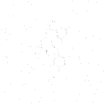 COc1cccc(OC)c1C1CCC(C)(C)C(=O)N1Cc1ccc(OC(F)(F)F)cc1